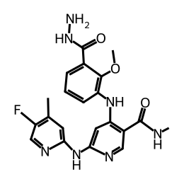 CNC(=O)c1cnc(Nc2cc(C)c(F)cn2)cc1Nc1cccc(C(=O)NN)c1OC